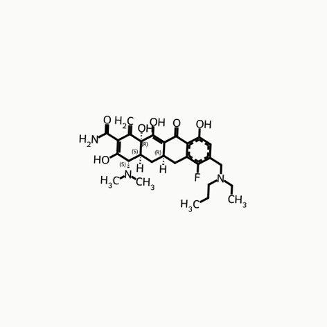 C=C1C(C(N)=O)=C(O)[C@@H](N(C)C)[C@@H]2C[C@@H]3Cc4c(F)c(CN(CC)CCC)cc(O)c4C(=O)C3=C(O)[C@]12O